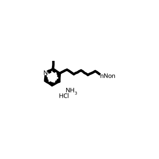 CCCCCCCCCCCCCCc1cccnc1C.Cl.N